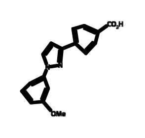 COc1cccc(-n2ccc(-c3ccc(C(=O)O)cc3)n2)c1